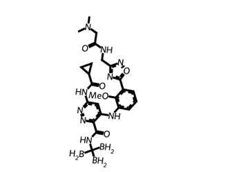 BC(B)(B)NC(=O)c1nnc(NC(=O)C2CC2)cc1Nc1cccc(-c2nc(CNC(=O)CN(C)C)no2)c1OC